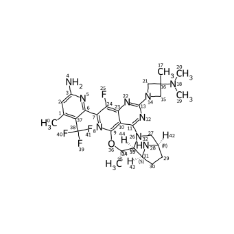 Cc1cc(N)nc(-c2nc3c4c(nc(N5CC(C)(N(C)C)C5)nc4c2F)N2C[C@H]4CC[C@H](N4)[C@H]2[C@H](C)O3)c1C(F)(F)F